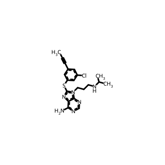 CC#Cc1cc(Cl)cc(Sc2nc3c(N)ncnc3n2CCCNC(C)C)c1